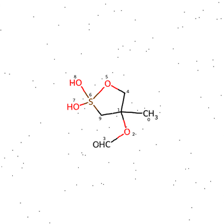 CC1(OC=O)COS(O)(O)C1